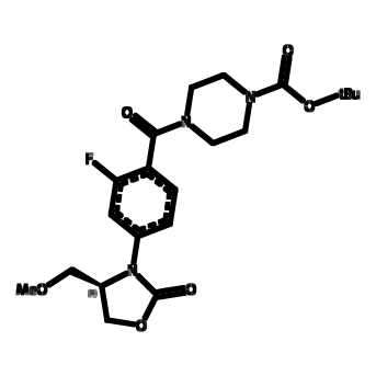 COC[C@@H]1COC(=O)N1c1ccc(C(=O)N2CCN(C(=O)OC(C)(C)C)CC2)c(F)c1